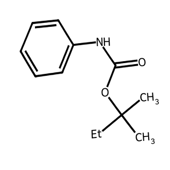 CCC(C)(C)OC(=O)Nc1ccccc1